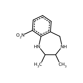 CC1NCc2cccc([N+](=O)[O-])c2NC1C